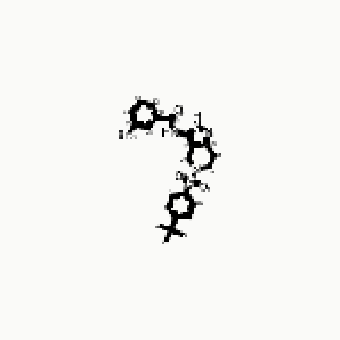 CC(C)(C)c1ccc(S(=O)(=O)N2CCc3n[nH]c(NC(=O)c4cccc(Br)c4)c3C2)cc1